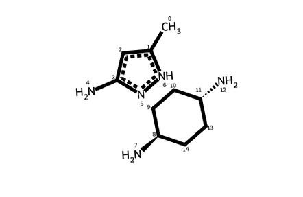 Cc1cc(N)n[nH]1.N[C@H]1CC[C@H](N)CC1